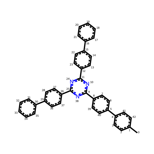 Cc1ccc(-c2ccc(-c3nc(-c4ccc(-c5ccccc5)cc4)nc(-c4ccc(-c5ccccc5)cc4)n3)cc2)cc1